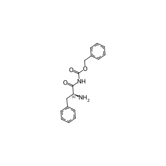 N[C@@H](Cc1ccccc1)C(=O)NC(=O)OCc1ccccc1